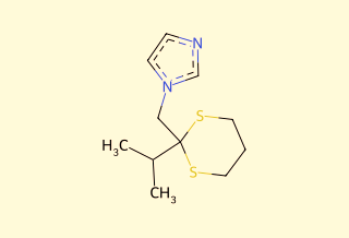 CC(C)C1(Cn2ccnc2)SCCCS1